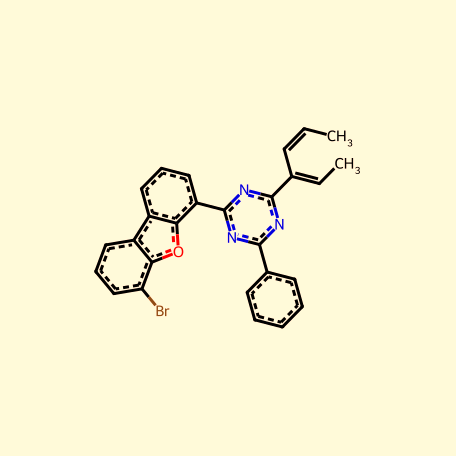 C/C=C\C(=C/C)c1nc(-c2ccccc2)nc(-c2cccc3c2oc2c(Br)cccc23)n1